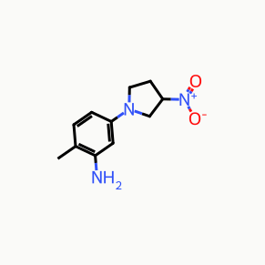 Cc1ccc(N2CCC([N+](=O)[O-])C2)cc1N